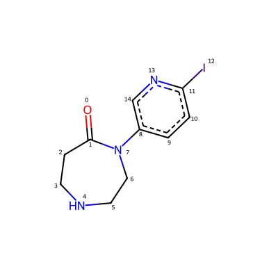 O=C1CCNCCN1c1ccc(I)nc1